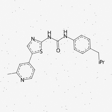 Cc1cc(-c2cnc(NC(=O)Nc3ccc(CC(C)C)cc3)s2)ccn1